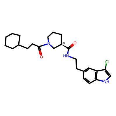 O=C(NCCc1ccc2[nH]cc(Cl)c2c1)[C@@H]1CCCN(C(=O)CCC2CCCCC2)C1